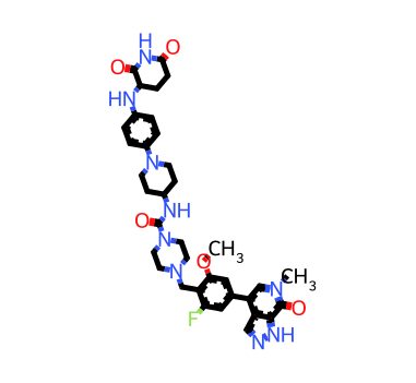 COc1cc(-c2cn(C)c(=O)c3[nH]ncc23)cc(F)c1CN1CCN(C(=O)NC2CCN(c3ccc(NC4CCC(=O)NC4=O)cc3)CC2)CC1